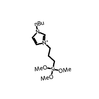 CCCCn1cc[n+](CCC[Si](OC)(OC)OC)c1